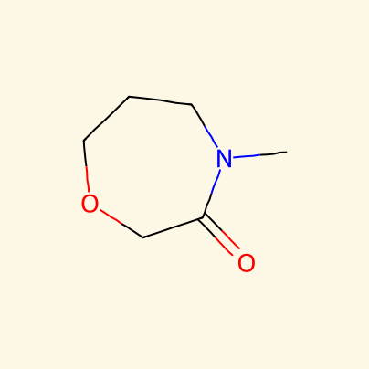 CN1CCCOCC1=O